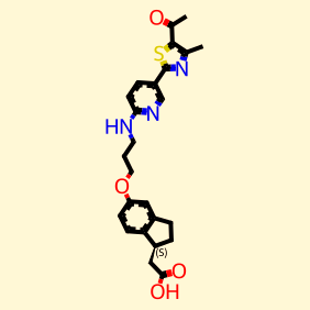 CC(=O)c1sc(-c2ccc(NCCCOc3ccc4c(c3)CC[C@H]4CC(=O)O)nc2)nc1C